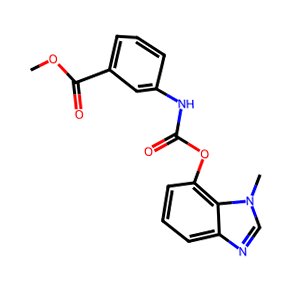 COC(=O)c1cccc(NC(=O)Oc2cccc3ncn(C)c23)c1